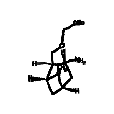 C=C1[C@@H]2C[C@@H](N)[C@H](COCOC)[C@H]1C2